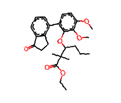 CCCC(Oc1c(-c2cccc3c2CCC3=O)ccc(OC)c1OC)C(C)(C)C(=O)OCC